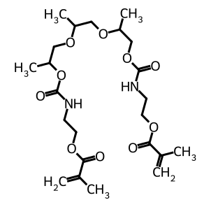 C=C(C)C(=O)OCCNC(=O)OCC(C)OCC(C)OCC(C)OC(=O)NCCOC(=O)C(=C)C